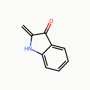 C=C1Nc2ccccc2C1=O